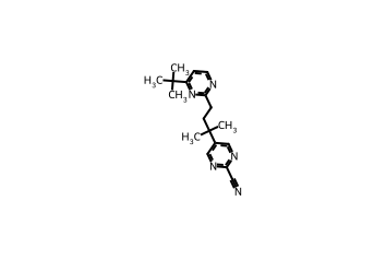 CC(C)(C)c1ccnc(CCC(C)(C)c2cnc(C#N)nc2)n1